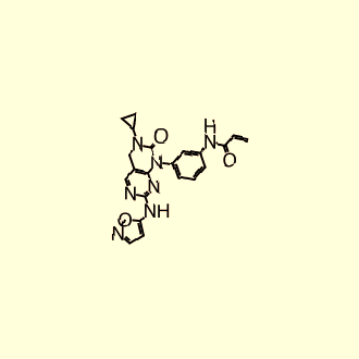 C=CC(=O)Nc1cccc(N2C(=O)N(C3CC3)Cc3cnc(Nc4ccno4)nc32)c1